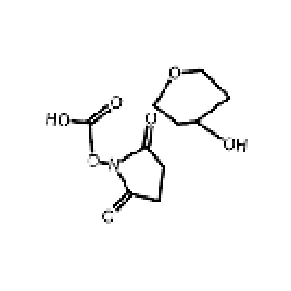 O=C(O)ON1C(=O)CCC1=O.OC1CCOCC1